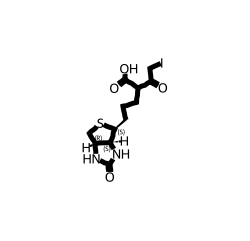 O=C1N[C@H]2[C@H](CS[C@H]2CCCC(C(=O)O)C(=O)CI)N1